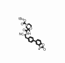 Cn1c(=O)oc2ccc(-c3ccc(C[C@@H](C#N)NC(=O)C4(C)CN(C(=O)OC(C)(C)C)CCO4)cc3)cc21